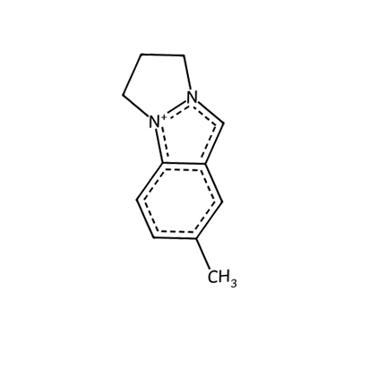 Cc1ccc2c(c1)cn1[n+]2CCC1